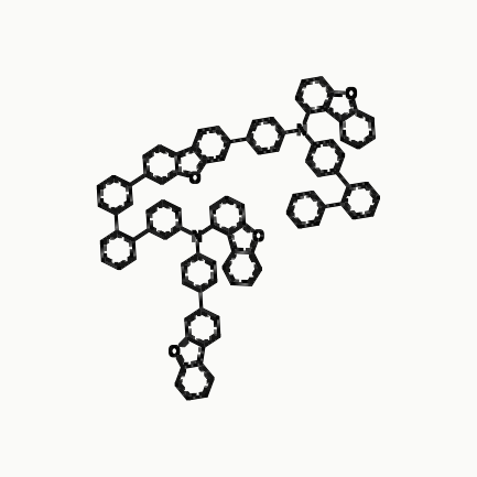 c1ccc(-c2ccccc2-c2ccc(N(c3ccc(-c4ccc5c(c4)oc4cc(-c6cccc(-c7ccccc7-c7cccc(N(c8ccc(-c9ccc%10c(c9)oc9ccccc9%10)cc8)c8cccc9oc%10ccccc%10c89)c7)c6)ccc45)cc3)c3cccc4oc5ccccc5c34)cc2)cc1